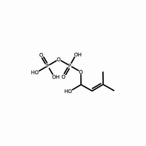 CC(C)=CC(O)OP(=O)(O)OP(=O)(O)O